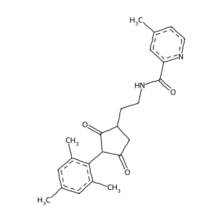 Cc1ccnc(C(=O)NCCC2CC(=O)C(c3c(C)cc(C)cc3C)C2=O)c1